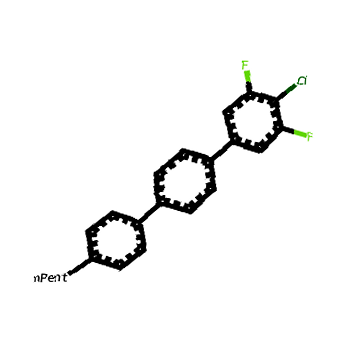 CCCCCc1ccc(-c2ccc(-c3cc(F)c(Cl)c(F)c3)cc2)cc1